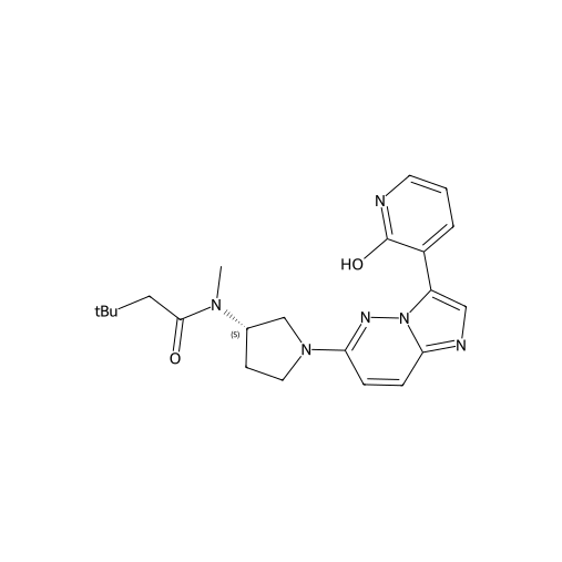 CN(C(=O)CC(C)(C)C)[C@H]1CCN(c2ccc3ncc(-c4cccnc4O)n3n2)C1